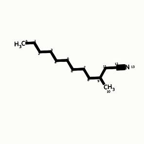 CCCCCCCCCC(C)CC#N